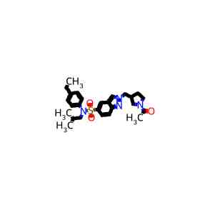 CCc1ccc(N(CC(C)C)S(=O)(=O)c2ccc3nn(CC4CCN(C(C)=O)C4)cc3c2)cc1